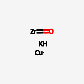 [Cu].[KH].[O]=[Zr]